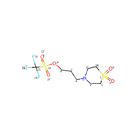 O=S1(=O)CCN(CCCOS(=O)(=O)C(F)(F)F)CC1